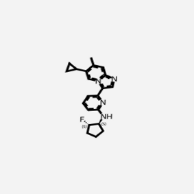 Cc1cc2ncc(-c3cccc(N[C@H]4CCC[C@@H]4F)n3)n2cc1C1CC1